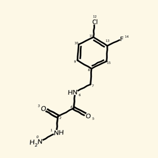 NNC(=O)C(=O)NCc1ccc(Cl)c(F)c1